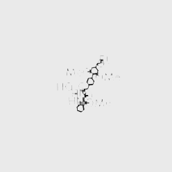 CCOCC1=CC(OC)=C(c2ccc(C[C@H](NC(=O)c3[nH]c4ccccc4c3OC)C(=O)O)cc2)C(OC)C1